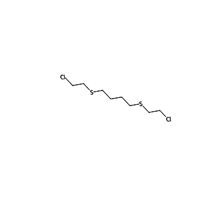 ClCCSCCCCSCCCl